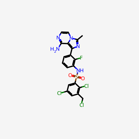 Cc1nc(-c2cccc(NS(=O)(=O)c3cc(Cl)cc(CCl)c3Cl)c2F)c2c(N)nccn12